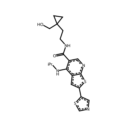 CC(C)Nc1c(C(=O)NCCC2(CO)CC2)cnc2sc(-c3cncs3)cc12